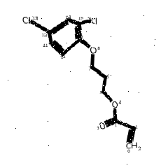 C=CC(=O)OCCCOc1ccc(Cl)cc1Cl